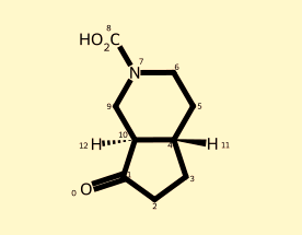 O=C1CC[C@H]2CCN(C(=O)O)C[C@H]12